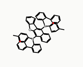 Cc1ccc(N(c2ccccc2-c2ccccc2)c2c3ccccc3c(N(c3ccc(C)cc3)c3ccccc3-c3ccccc3)c3c2oc2ccccc23)cc1